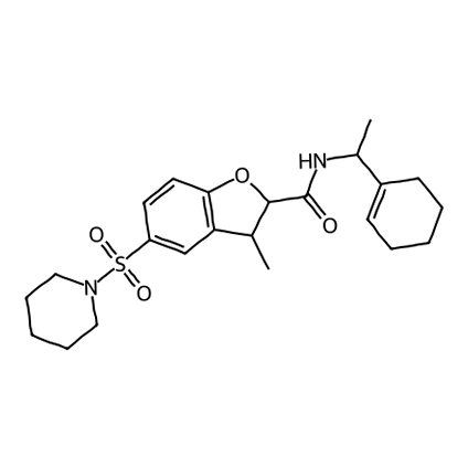 CC(NC(=O)C1Oc2ccc(S(=O)(=O)N3CCCCC3)cc2C1C)C1=CCCCC1